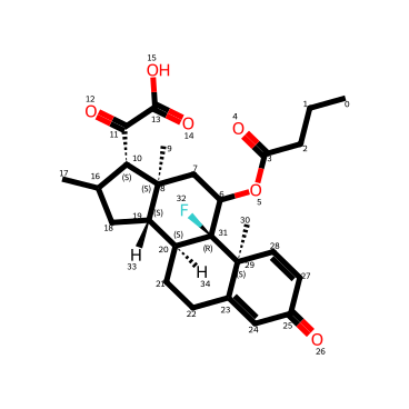 CCCC(=O)OC1C[C@]2(C)[C@@H](C(=O)C(=O)O)C(C)C[C@H]2[C@@H]2CCC3=CC(=O)C=C[C@]3(C)[C@@]12F